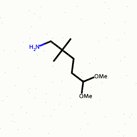 CO[C](CCC(C)(C)CN)OC